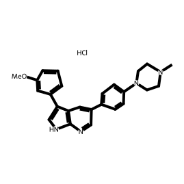 COc1cccc(-c2c[nH]c3ncc(-c4ccc(N5CCN(C)CC5)cc4)cc23)c1.Cl